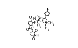 CC1(C)CCC(CN2CCN(C(=O)c3ccc4c(c3F)CN(C3CCC(=O)NC3=O)C4=O)CC2(C)C)=C(c2ccc(F)cc2)C1